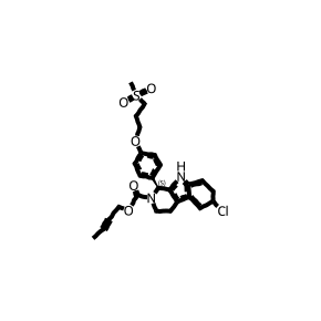 CC#CCOC(=O)N1CCc2c([nH]c3c2=CC(Cl)CC=3)[C@@H]1c1ccc(OCCCS(C)(=O)=O)cc1